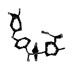 CCN(c1ccc(Oc2ccc(F)c(F)c2)cc1)S(=O)(=O)c1ccc(C)c(C(=O)OC)c1